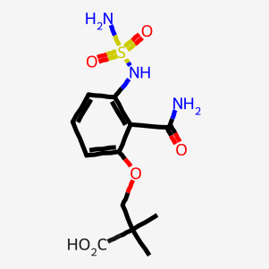 CC(C)(COc1cccc(NS(N)(=O)=O)c1C(N)=O)C(=O)O